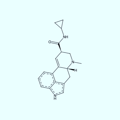 CN1C[C@H](C(=O)NC2CC2)C=C2c3cccc4[nH]cc(c34)C[C@H]21